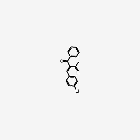 CC(=O)/C(=C\c1ccc(Cl)cc1)C(=O)c1ccccc1